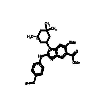 COC(=O)c1cc2nc(Nc3ccc(OC(C)C)cc3)n(C3C[C@H](C)CC(C)(C)C3)c2cc1OC